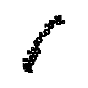 CCN(C)S(=O)(=O)Nc1ccc(F)c(Oc2ccc3ncn(C4COC5(CCN(C(=O)CN6CCC(c7ccc(NC8CCC(=O)NC8=O)cc7F)CC6)CC5)C4)c(=O)c3c2Br)c1C#N